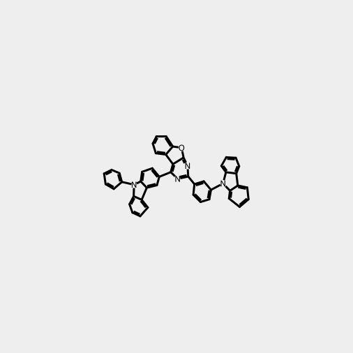 c1ccc(-n2c3ccccc3c3cc(-c4nc(-c5cccc(-n6c7ccccc7c7ccccc76)c5)nc5oc6ccccc6c45)ccc32)cc1